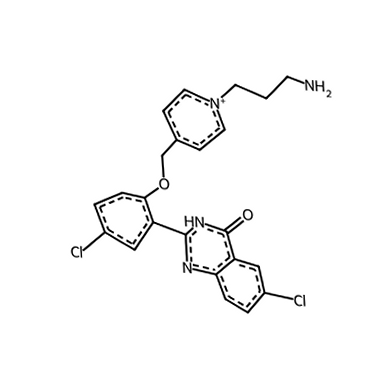 NCCC[n+]1ccc(COc2ccc(Cl)cc2-c2nc3ccc(Cl)cc3c(=O)[nH]2)cc1